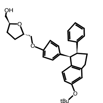 CC(C)(C)Oc1ccc2c(c1)CC[C@H](c1ccccc1)[C@@H]2c1ccc(OC[C@@H]2CC[C@@H](CO)O2)cc1